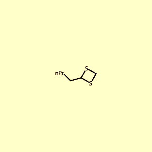 CCCCC1SCS1